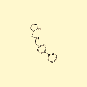 c1ccc(-c2ccc(CNCC3CCCN3)cc2)cc1